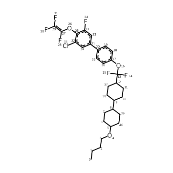 CCCCOC1CCC(C2CCC(C(F)(F)Oc3ccc(-c4cc(F)c(OC(F)=C(F)F)c(Cl)c4)cc3)CC2)CC1